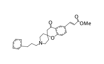 COC(=O)C=Cc1ccc2c(c1)C(=O)CC1(CCN(CCCc3ccccc3)CC1)O2